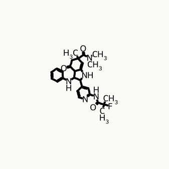 CN(C)C(=O)C1(C)C=C2NC(c3ccnc(NC(=O)C(C)(C)F)c3)C(Nc3ccccc3)C2C(=O)C1